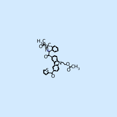 CC(=O)OCCn1c2ccc(C(=O)/C(=N/OC(C)=O)c3ccccc3C)cc2c2cc(C(=O)c3cccs3)ccc21